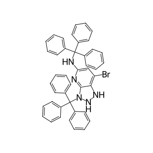 Brc1cc(NC(c2ccccc2)(c2ccccc2)c2ccccc2)nc2c1NNN2C(c1ccccc1)(c1ccccc1)c1ccccc1